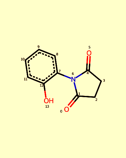 O=C1CCC(=O)N1c1ccccc1O